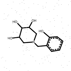 Oc1ccccc1CN1CC(O)C(O)C(O)C1